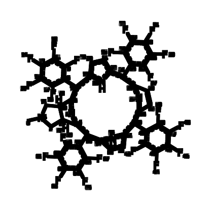 CN1C[C@@H]2c3nc(c(-c4c(F)c(F)c(F)c(F)c4F)c4ccc([nH]4)c(-c4c(F)c(F)c(F)c(F)c4F)c4nc(c(-c5c(F)c(F)c(F)c(F)c5F)c5ccc([nH]5)c3-c3c(F)c(F)c(F)c(F)c3F)C=C4)[C@@H]2C1